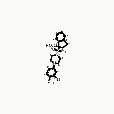 O=C(O)C1(S(=O)(=O)N2CCN(c3ccc(C(F)(F)F)c(Cl)c3)CC2)CCc2ccccc21